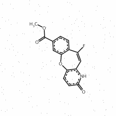 COC(=O)c1ccc2c(c1)Oc1ccc(=O)[nH]c1C=C2F